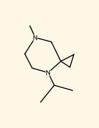 CC(C)N1CCN(C)CC12CC2